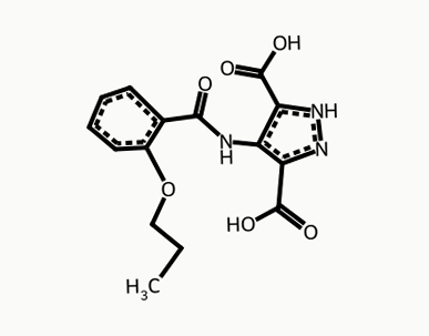 CCCOc1ccccc1C(=O)Nc1c(C(=O)O)n[nH]c1C(=O)O